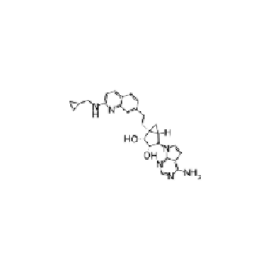 Nc1ncnc2c1ccn2[C@H]1[C@H](O)[C@H](O)[C@@]2(CCc3ccc4ccc(NCC5CC5)nc4c3)C[C@H]12